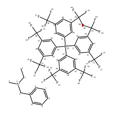 CC[S+](C)Cc1ccccc1.FC(F)(F)c1cc([B-](c2cc(C(F)(F)F)cc(C(F)(F)F)c2)(c2cc(C(F)(F)F)cc(C(F)(F)F)c2)c2cc(C(F)(F)F)cc(C(F)(F)F)c2)cc(C(F)(F)F)c1